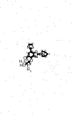 CC(C)(O)C(F)(F)Oc1c(Cl)cc(-c2nccs2)c2oc(N3CC4CC(C3)N4)nc12